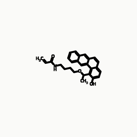 C=CC(=O)NCCCCOC(C)c1c(O)ccc2ccc3cc4ccccc4cc3c12